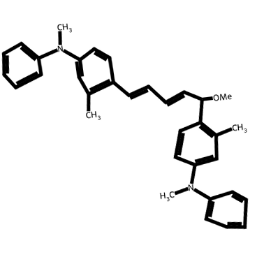 COC(/C=C/C=C/c1ccc(N(C)c2ccccc2)cc1C)c1ccc(N(C)c2ccccc2)cc1C